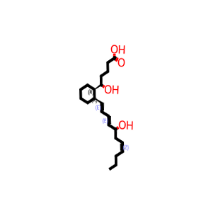 CCC/C=C\CC(O)/C=C/C=C/[C@H]1CCCC[C@H]1C(O)CCCC(=O)O